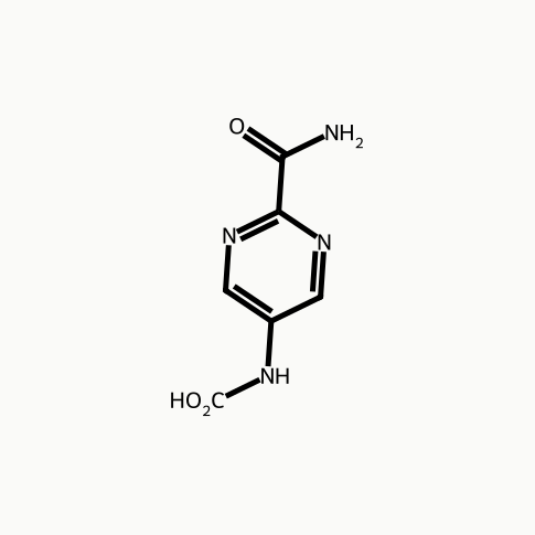 NC(=O)c1ncc(NC(=O)O)cn1